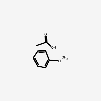 CC(=O)O.Clc1ccccc1.O